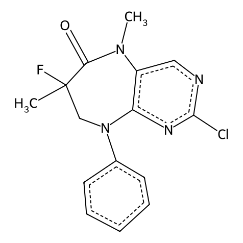 CN1C(=O)C(C)(F)CN(c2ccccc2)c2nc(Cl)ncc21